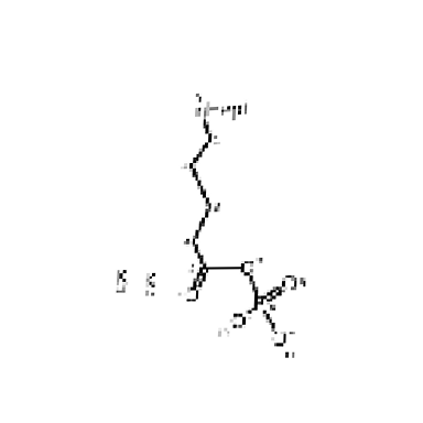 CCCCCCCCCCCC(=O)OP(=O)([O-])[O-].[K+].[K+]